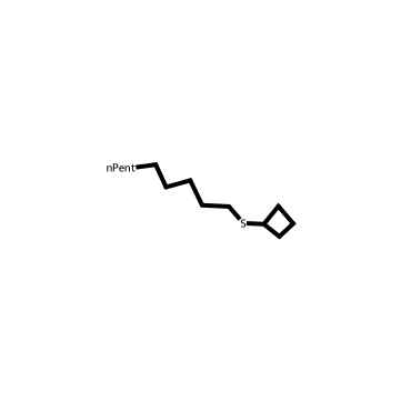 CCCCCCCCCCSC1CCC1